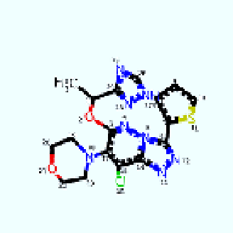 CC(Oc1nn2c(-c3cccs3)nnc2c(Cl)c1N1CCOCC1)c1nc[nH]n1